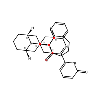 O=c1cccc(-c2nc3ccccc3n([C@@H]3C[C@H]4CCC[C@@H](C3)N4[C@@H]3C[C@@H]4CCCC[C@@H](C4)C3)c2=O)[nH]1